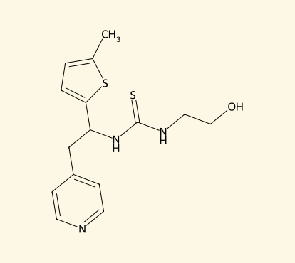 Cc1ccc(C(Cc2ccncc2)NC(=S)NCCO)s1